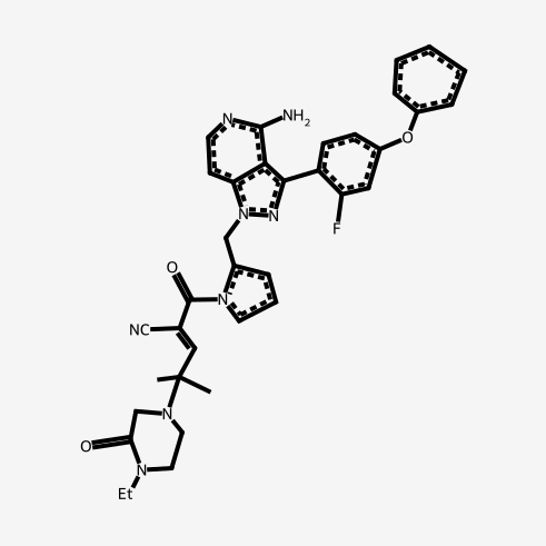 CCN1CCN(C(C)(C)C=C(C#N)C(=O)n2cccc2Cn2nc(-c3ccc(Oc4ccccc4)cc3F)c3c(N)nccc32)CC1=O